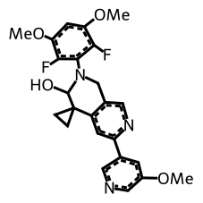 COc1cncc(-c2cc3c(cn2)CN(c2c(F)c(OC)cc(OC)c2F)C(O)C32CC2)c1